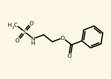 CS(=O)(=O)NCCOC(=O)c1ccccc1